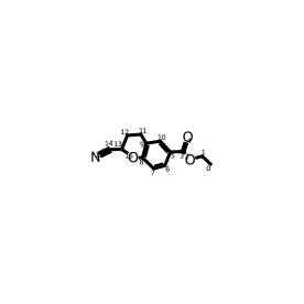 CCOC(=O)c1ccc2c(c1)CCC(C#N)O2